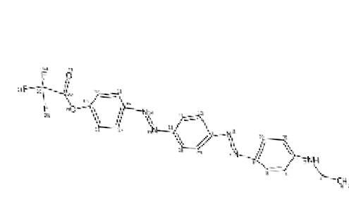 CCNc1ccc(N=Nc2ccc(N=Nc3ccc(OC(=O)C(F)(F)F)cc3)cc2)cc1